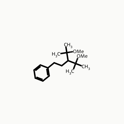 COC(C)(C)C(CCc1ccccc1)C(C)(C)OC